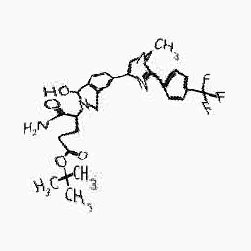 Cn1cc(-c2ccc3c(c2)CN(C(CCC(=O)OC(C)(C)C)C(N)=O)C3O)nc1-c1ccc(C(F)(F)F)cc1